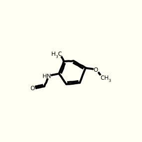 COc1ccc(NC=O)c(C)c1